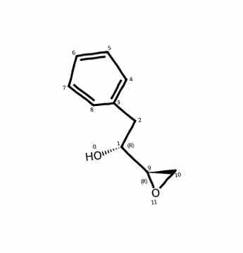 O[C@H](Cc1ccccc1)[C@H]1CO1